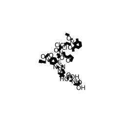 C#CCN1C(=O)COc2cc(F)c(/N=c3\snc4n3CC(C)(C)C4)cc21.CC1(C)OC(c2ccco2)CN1C(=O)C(Cl)Cl.CCOCN(C(=O)CCl)c1c(C)cccc1CC.O=C(O)CNCP(=O)(O)O